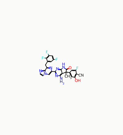 C[C@]1(c2cc(O)c(C#N)c(F)c2)C(=O)Nc2nc(-c3cn4ccnc4c(Cc4cc(F)cc(F)c4F)n3)nc(N)c21